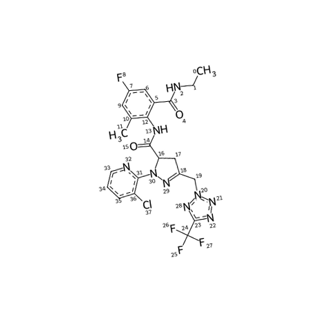 CCNC(=O)c1cc(F)cc(C)c1NC(=O)C1CC(Cn2nnc(C(F)(F)F)n2)=NN1c1ncccc1Cl